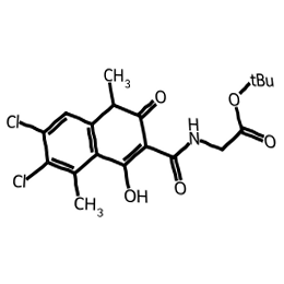 Cc1c(Cl)c(Cl)cc2c1C(O)=C(C(=O)NCC(=O)OC(C)(C)C)C(=O)C2C